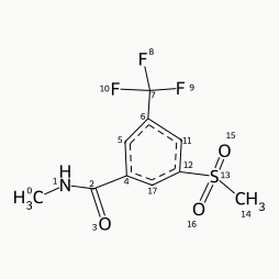 CNC(=O)c1cc(C(F)(F)F)cc(S(C)(=O)=O)c1